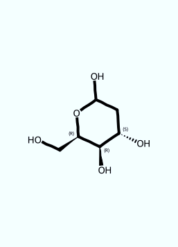 OC[C@H]1OC(O)C[C@H](O)[C@H]1O